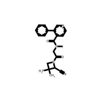 CC1(P)CN(C(=O)CN(I)C(=O)c2ccncc2-c2ccccc2)C1C#N